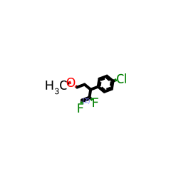 COCCC(/C(F)=C/F)c1ccc(Cl)cc1